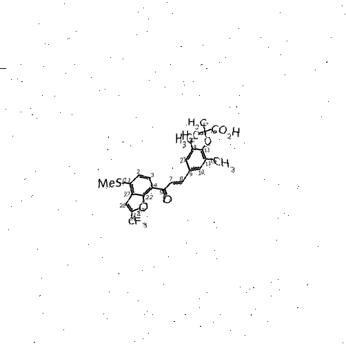 CSc1ccc(C(=O)/C=C/c2cc(C)c(OC(C)(C)C(=O)O)c(C)c2)c2oc(C(F)(F)F)cc12